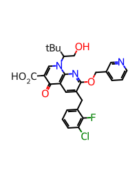 CC(C)(C)C(CO)n1cc(C(=O)O)c(=O)c2cc(Cc3cccc(Cl)c3F)c(OCc3cccnc3)nc21